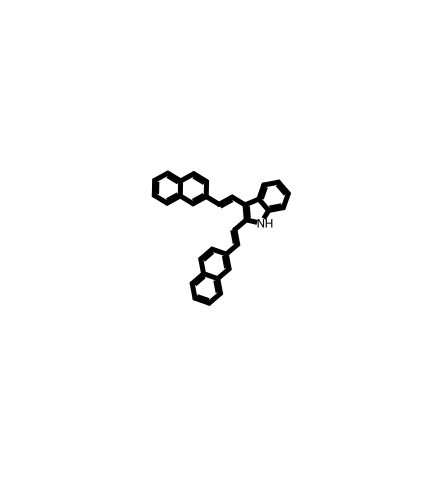 C(=C\c1[nH]c2ccccc2c1/C=C/c1ccc2ccccc2c1)/c1ccc2ccccc2c1